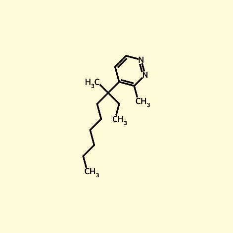 CCCCCCC(C)(CC)c1ccnnc1C